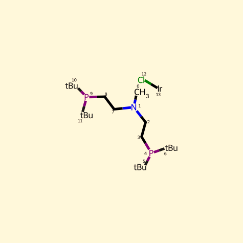 CN(CCP(C(C)(C)C)C(C)(C)C)CCP(C(C)(C)C)C(C)(C)C.[Cl][Ir]